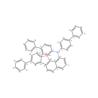 c1ccc(-c2ccc(N(c3ccc(-c4ccccc4)cc3)c3cccc4ccc5c6cc(-c7ccccc7)ccc6oc5c34)cc2)cc1